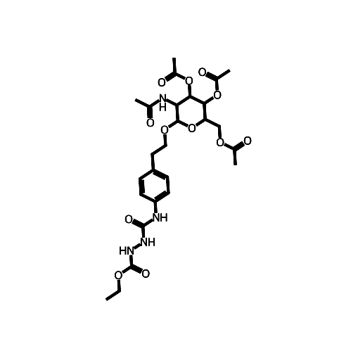 CCOC(=O)NNC(=O)Nc1ccc(CCOC2OC(COC(C)=O)C(OC(C)=O)C(OC(C)=O)C2NC(C)=O)cc1